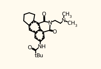 CN(C)CCN1C(=O)c2cc(NC(=O)C(C)(C)C)cc3cc4c(c(c23)C1=O)CCCC4